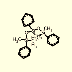 C[Si](C)(O[Si](C)(O[Si](C)(C)c1ccccc1)c1ccccc1)c1ccccc1